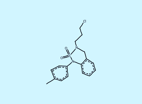 Cc1ccc(N2c3ccccc3CN(CCCCl)S2(=O)=O)cc1